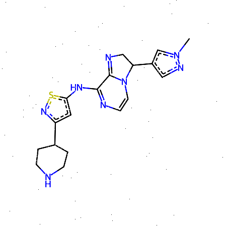 Cn1cc(C2CN=C3C(Nc4cc(C5CCNCC5)ns4)=NC=CN32)cn1